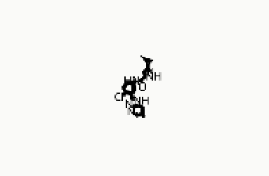 Cc1cnc2nc(-c3cc(NC(=O)c4cc(C5CC5)n[nH]4)ccc3Cl)[nH]c2c1